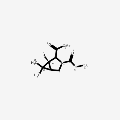 COC(=O)C1[C@@H]2C(CN1C(=O)OC(C)(C)C)C2(C)C